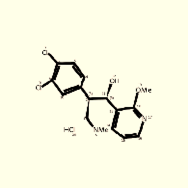 CNC[C@@H](c1ccc(Cl)c(Cl)c1)[C@@H](O)c1cccnc1OC.Cl